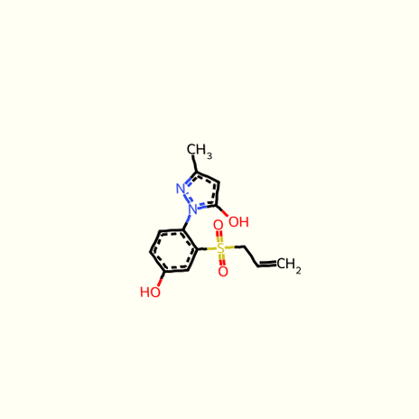 C=CCS(=O)(=O)c1cc(O)ccc1-n1nc(C)cc1O